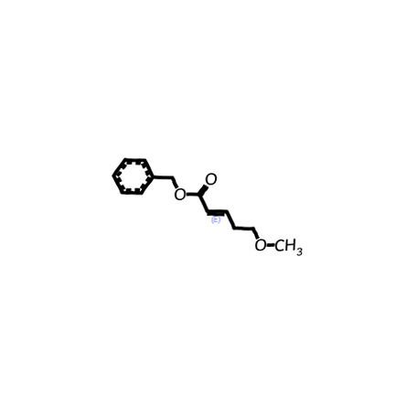 COCC/C=C/C(=O)OCc1ccccc1